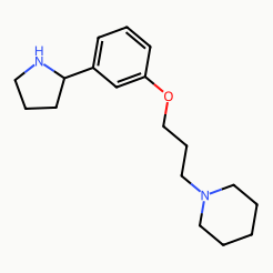 c1cc(OCCCN2CCCCC2)cc(C2CCCN2)c1